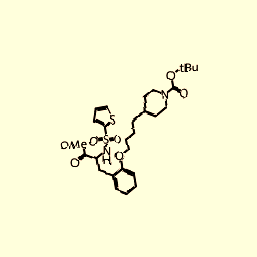 COC(=O)C(Cc1ccccc1OCCCCC1CCN(C(=O)OC(C)(C)C)CC1)NS(=O)(=O)c1cccs1